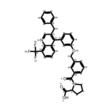 O=C(O)C1CCCN1C(=O)c1cccc(COc2cccc(-c3c(Cc4ccccc4)cnc4c(C(F)(F)F)cccc34)c2)c1